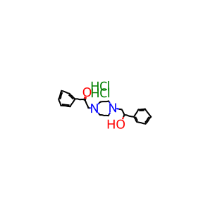 Cl.Cl.O=C(CN1CCN(CC(O)c2ccccc2)CC1)c1ccccc1